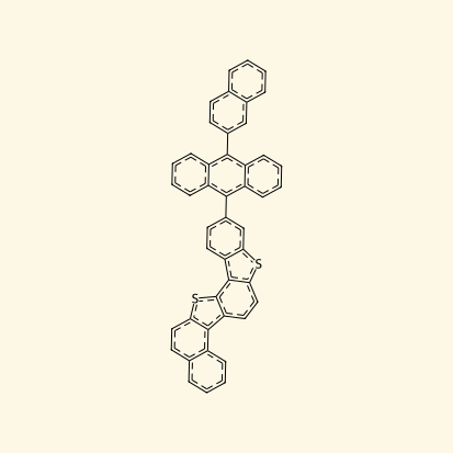 c1ccc2cc(-c3c4ccccc4c(-c4ccc5c(c4)sc4ccc6c(sc7ccc8ccccc8c76)c45)c4ccccc34)ccc2c1